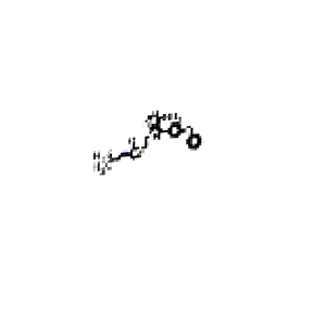 CN(C)C/C=C1\CCN(CCn2nc(-c3ccc(Oc4ccccc4)cc3)c3c(N)ncnc32)C1=O